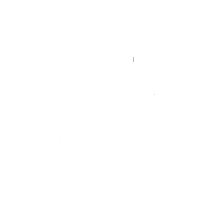 C=C(C)C(O)C=C(C)CCO